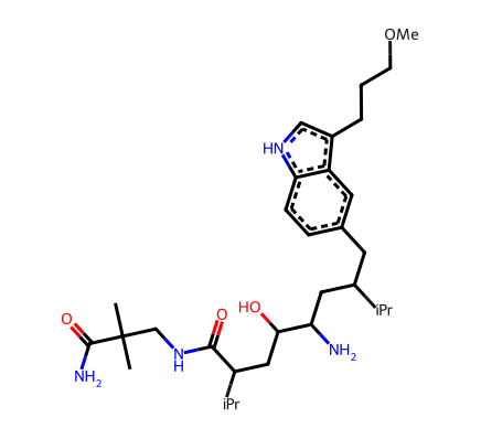 COCCCc1c[nH]c2ccc(CC(CC(N)C(O)CC(C(=O)NCC(C)(C)C(N)=O)C(C)C)C(C)C)cc12